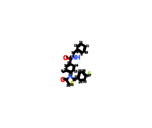 Cc1cc(C(=O)NCc2ccccc2)ccc1N1C(=O)CSC1c1ccc(F)cc1